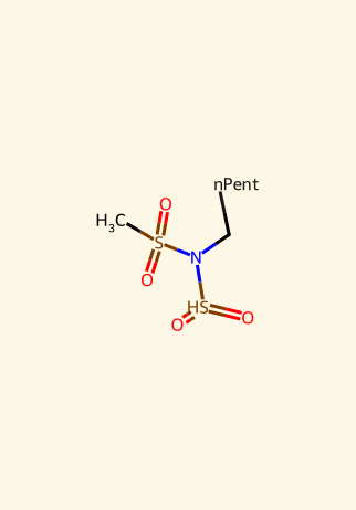 CCCCCCN([SH](=O)=O)S(C)(=O)=O